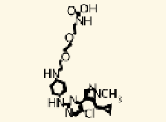 Cn1ncc(-c2nc(N[C@H]3CC[C@H](NCCOCCOCCNC(=O)O)CC3)ncc2Cl)c1CC1CC1